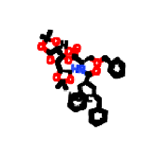 CC1(C)OC[C@H]([C@H]2OC3OC(C)(C)O[C@@H]3[C@@]2(O)OC(=O)[C@H](COCc2ccccc2)NC(=O)[C@H](Cc2ccccc2)C[C@@H](Cc2ccccc2)C(=O)O)O1